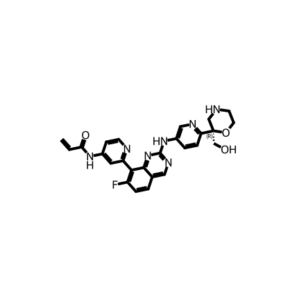 C=CC(=O)Nc1ccnc(-c2c(F)ccc3cnc(Nc4ccc([C@@]5(CO)CNCCO5)nc4)nc23)c1